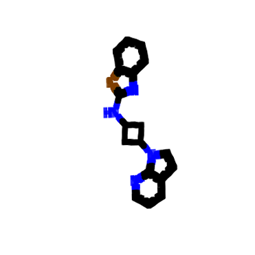 c1cnc2c(c1)ccn2C1CC(Nc2nc3ccccc3s2)C1